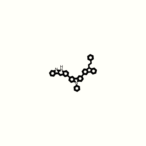 c1ccc(CCC2c3ccccc3-c3cc(-c4ccc5c(c4)c4cc(-c6ccc7[nH]c8nc9ccccc9c-8cc7c6)ccc4n5-c4ccccc4)ccc32)cc1